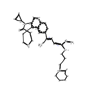 C=N/C(=C\C=C(/C)c1ccc2ncc3c(c2c1)C1(CCOCC1)C(=O)N3C1CC1)OCCCN1CCCCC1